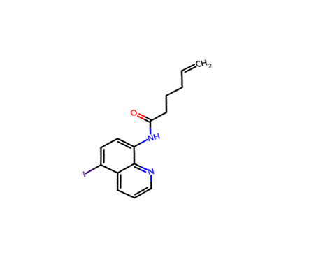 C=CCCCC(=O)Nc1ccc(I)c2cccnc12